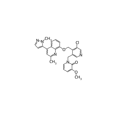 COc1cccn(Cc2cncc(Cl)c2COc2cccc3c(-c4ccnn4C)cc(C)nc23)c1=O